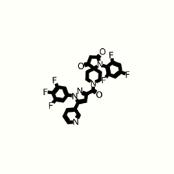 O=C(c1cc(-c2cccnc2)n(-c2cc(F)c(F)c(F)c2)n1)N1CCC2(CC1)C(=O)CC(=O)N2c1c(F)cc(F)cc1F